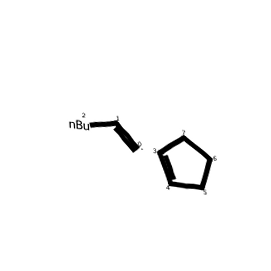 [CH]=CCCCC.[C]1=CCCC1